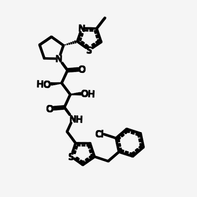 Cc1csc([C@H]2CCCN2C(=O)[C@H](O)[C@@H](O)C(=O)NCc2cc(Cc3ccccc3Cl)cs2)n1